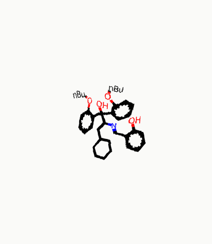 CCCCOc1ccccc1C(O)(c1ccccc1OCCCC)C(CC1CCCCC1)N=Cc1ccccc1O